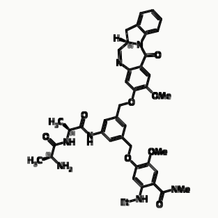 CCNc1cc(OCc2cc(COc3cc4c(cc3OC)C(=O)N3c5ccccc5C[C@H]3C=N4)cc(NC(=O)[C@H](C)NC(=O)[C@H](C)N)c2)c(OC)cc1C(=O)NC